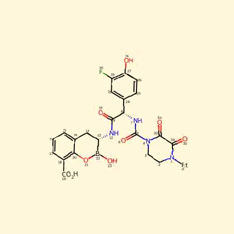 CCN1CCN(C(=O)N[C@H](C(=O)N[C@H]2Cc3cccc(C(=O)O)c3OB2O)c2ccc(O)c(F)c2)C(=O)C1=O